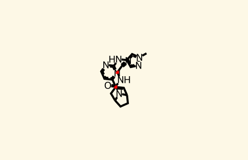 Cn1cc(Nc2nccc(C3=CC4CCC(C3)N4C(=O)NCC#N)n2)cn1